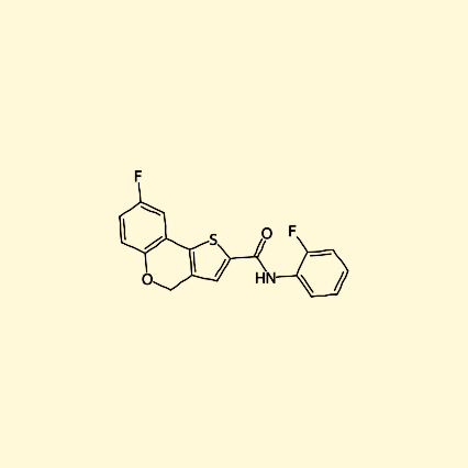 O=C(Nc1ccccc1F)c1cc2c(s1)-c1cc(F)ccc1OC2